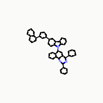 c1ccc(-c2nc(-c3ccccc3)c3cc(-n4c5ccccc5c5cc(-c6cccc(-c7cccc8ccccc78)c6)ccc54)c4ccccc4c3n2)cc1